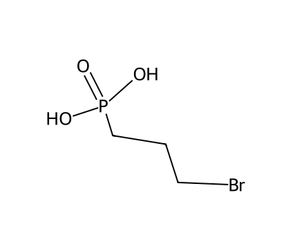 O=P(O)(O)CCCBr